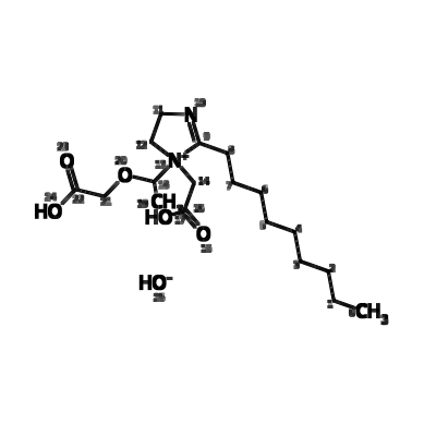 CCCCCCCCCC1=NCC[N+]1(CC(=O)O)C(C)OCC(=O)O.[OH-]